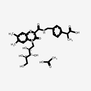 CC(=O)O.Cc1cc2nc(C(=O)NCc3ccc(C(C)C(=O)O)cc3)c(=O)n(C[C@H](O)[C@H](O)[C@H](O)CO)c2cc1C